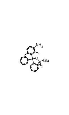 Cc1ccc(N)c(C)c1C(O[SiH2]C(C)(C)C)(c1ccccc1)c1ccccc1